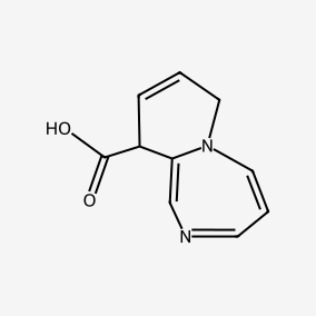 O=C(O)C1C=CCN2C=CC=NC=C12